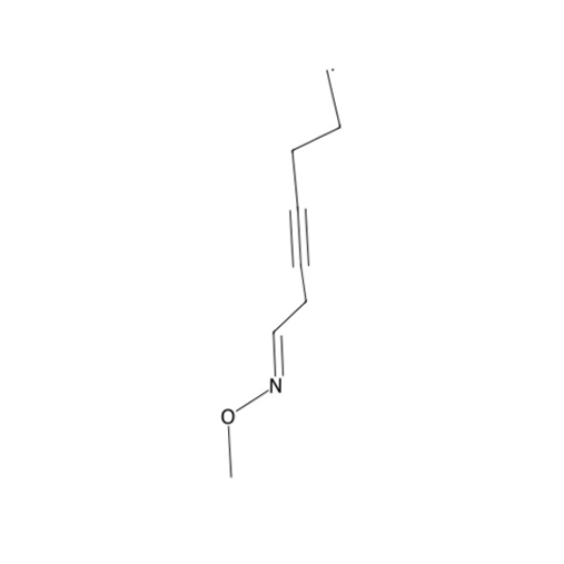 [CH2]CCC#CCC=NOC